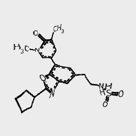 Cc1cc(-c2cc(CCN[SH](=O)=O)cc3nc(C4CCCC4)oc23)cn(C)c1=O